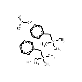 C[P+](C)(C)Cc1ccccc1.C[P+](C)(C)Cc1ccccc1.[H+].[O-]P([O-])[O-]